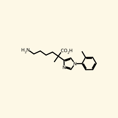 Cc1ccccc1-n1cnc(C(C)(CCCCN)C(=O)O)c1